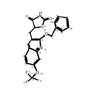 O=C1NC(=O)C(Cc2cc3ccc(OC(F)(F)F)cc3nc2OCc2ccccc2)S1